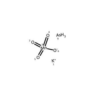 [AsH3].[K+].[O]=[Mn](=[O])(=[O])[O-]